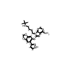 CC(C)(C)NCCCCn1c(Sc2cc3c(cc2-c2cc[nH]n2)OCO3)nc2c(N)ncnc21